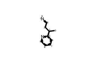 CC(CC=[N])c1ccccn1